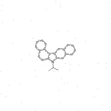 CC(C)n1c2cc3ccccc3cc2c2c3ccccc3ccc21